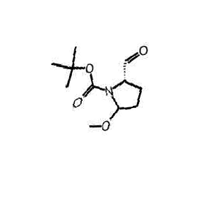 COC1CC[C@@H](C=O)N1C(=O)OC(C)(C)C